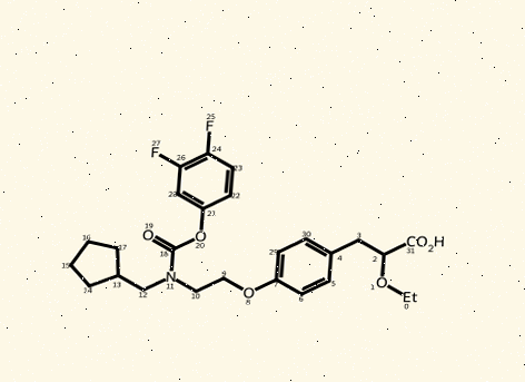 CCOC(Cc1ccc(OCCN(CC2CCCC2)C(=O)Oc2ccc(F)c(F)c2)cc1)C(=O)O